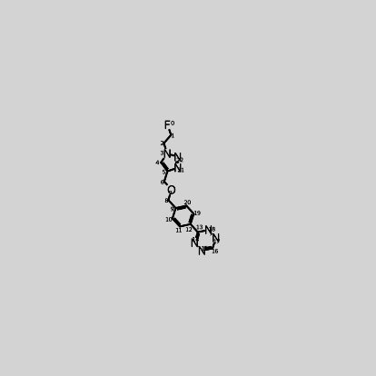 FCCn1cc(COCc2ccc(-c3nncnn3)cc2)nn1